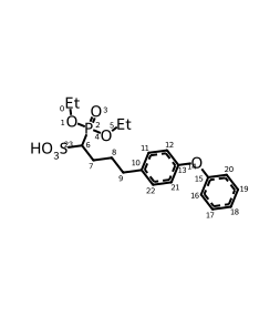 CCOP(=O)(OCC)C(CCCc1ccc(Oc2ccccc2)cc1)S(=O)(=O)O